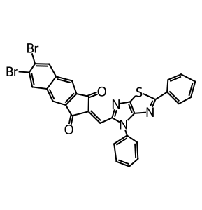 O=C1C(=Cc2nc3sc(-c4ccccc4)nc3n2-c2ccccc2)C(=O)c2cc3cc(Br)c(Br)cc3cc21